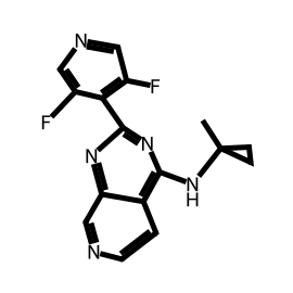 CC1(Nc2nc(-c3c(F)cncc3F)nc3cnccc23)CC1